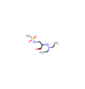 CCN(CC)NC([C]=O)CNS(C)(=O)=O